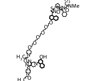 C=CC(=O)N1CCN(c2nc(O[C@H](C)CN3CCC(OCCOCCOCCOCCOCCOc4ccc(-c5csc([C@@H]6CCCN6C(=O)[C@@H](NC(=O)[C@H](C)NC)C6CCCCC6)n5)c5ccccc45)CC3)nc3c2CCN(c2cc(O)cc4ccccc24)C3)CC1